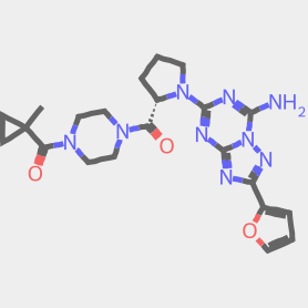 CC1(C(=O)N2CCN(C(=O)[C@@H]3CCCN3c3nc(N)n4nc(-c5ccco5)nc4n3)CC2)CC1